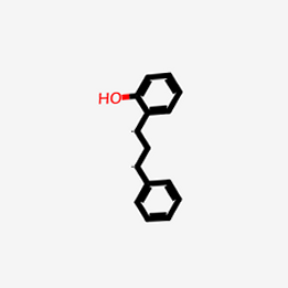 Oc1ccccc1[CH]C[CH]c1ccccc1